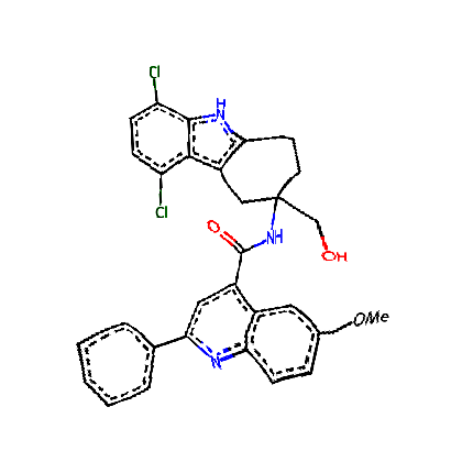 COc1ccc2nc(-c3ccccc3)cc(C(=O)NC3(CO)CCc4[nH]c5c(Cl)ccc(Cl)c5c4C3)c2c1